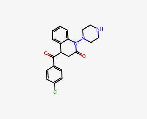 O=C(c1ccc(Cl)cc1)C1CC(=O)N(N2CCNCC2)c2ccccc21